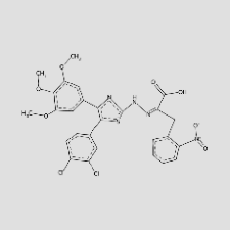 COc1cc(-c2nc(NN=C(Cc3ccccc3[N+](=O)[O-])C(=O)O)sc2-c2ccc(Cl)c(Cl)c2)cc(OC)c1OC